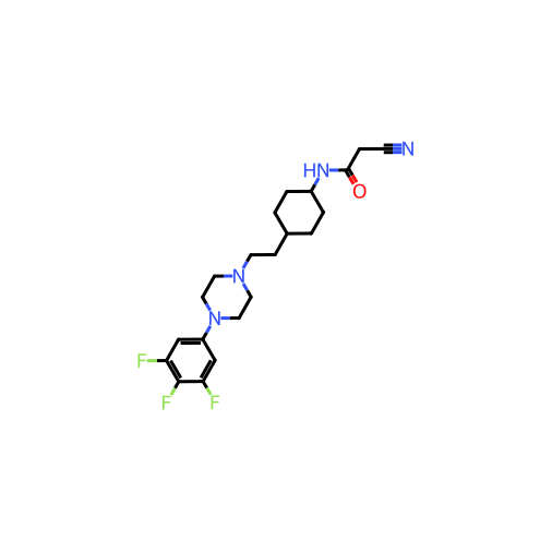 N#CCC(=O)NC1CCC(CCN2CCN(c3cc(F)c(F)c(F)c3)CC2)CC1